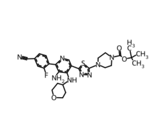 CC(C)(C)OC(=O)N1CCN(c2nnc(-c3cnc(-c4ccc(C#N)cc4F)c(N)c3NC3CCOCC3)s2)CC1